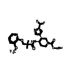 CC(C)(C)OC(=O)N1CC[C@@H](NC(=O)C(C)(C)COc2ncccc2OC(F)(F)F)[C@H](c2cnn(C(F)F)c2)C1